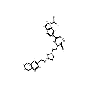 O=C(NC(CCN1CC[C@@H](CCc2ccc3c(n2)NCCC3)C1)C(=O)O)c1ccc2cnn(C(F)F)c2c1